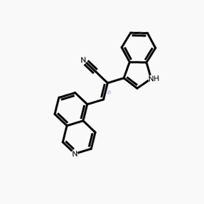 N#C/C(=C\c1cccc2cnccc12)c1c[nH]c2ccccc12